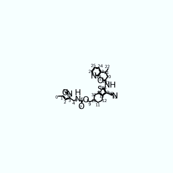 Cc1cc(CNC(=O)OCC2CCc3c(sc(NC(=O)CC(C)c4cccnc4)c3C#N)C2)no1